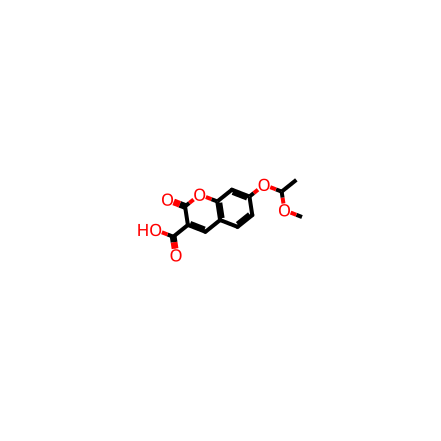 COC(C)Oc1ccc2cc(C(=O)O)c(=O)oc2c1